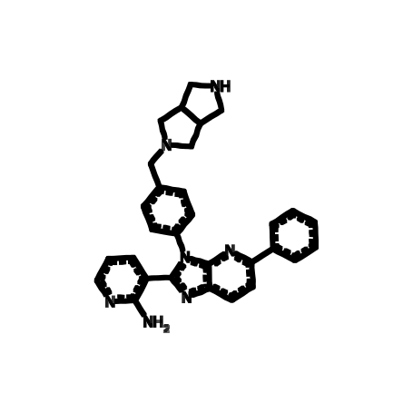 Nc1ncccc1-c1nc2ccc(-c3ccccc3)nc2n1-c1ccc(CN2CC3CNCC3C2)cc1